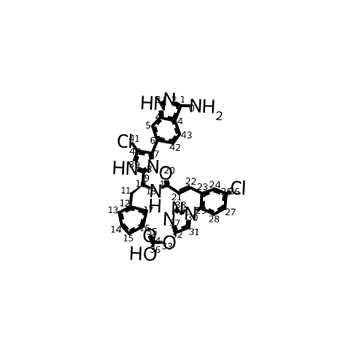 Nc1n[nH]c2cc(-c3nc([C@H](Cc4ccccc4)NC(=O)/C=C/c4cc(Cl)ccc4-n4cc(OC(=O)O)nn4)[nH]c3Cl)ccc12